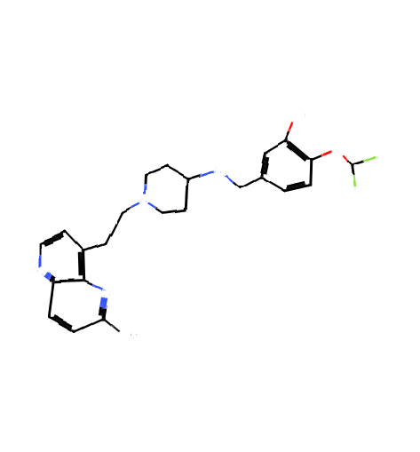 COc1ccc2nccc(CCN3CCC(NCc4ccc(OC(F)F)c(O)c4)CC3)c2n1